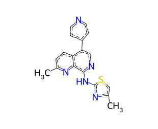 Cc1csc(Nc2ncc(-c3ccncc3)c3ccc(C)nc23)n1